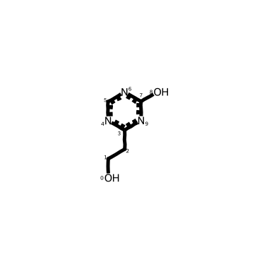 OCCc1ncnc(O)n1